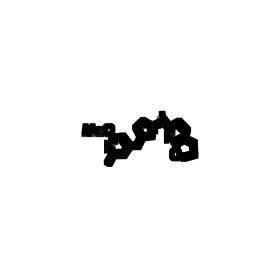 COc1cc(CC2CCN([C@@H](C)c3ccc4c(n3)OCCC4)C2)cc(C)n1